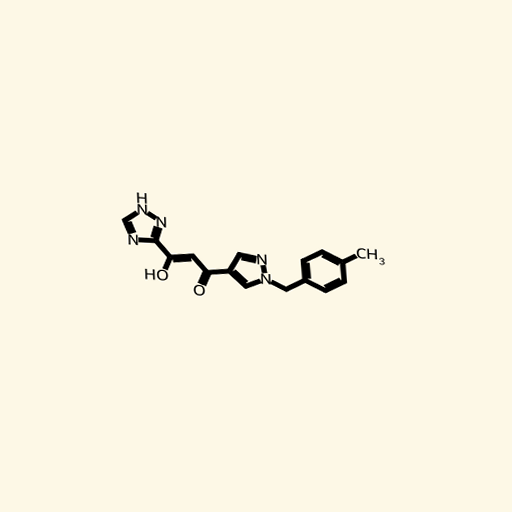 Cc1ccc(Cn2cc(C(=O)C=C(O)c3nc[nH]n3)cn2)cc1